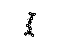 c1ccc(-c2nc(-c3ccccc3)nc(-c3ccc4sc5c(-c6ccc7c(c6)oc6cc(-n8c9ccccc9c9ccccc98)ccc67)cccc5c4c3)n2)cc1